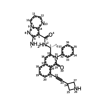 C[C@@H](NC(=O)c1c(N)nn2cccnc12)c1cc2cccc(C#CC3CNC3)c2c(=O)n1-c1ccccc1